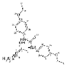 CC(=O)O.CCOc1ccc(NC(=S)Nc2ccc(OCC)cc2)cc1.[AlH3].[AlH3]